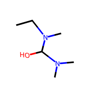 CCN(C)C(O)N(C)C